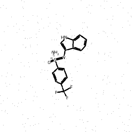 N[S@](=O)(=Nc1c[nH]c2ccccc12)c1ccc(C(F)(F)F)cc1